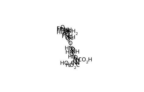 CCC(=O)NCCNC(=O)/N=C(/N)NCCC[C@@H](NC(=O)C(c1ccccc1)c1cccc(OCCCCNC(=O)C[C@H]2NC(=O)[C@@H](CCCNC(=O)CN3CCN(CC(=O)O)CCN(CC(=O)O)CCN(CC(=O)O)CC3)NC2=O)c1)C(=O)NCc1c(F)cc(O)cc1F